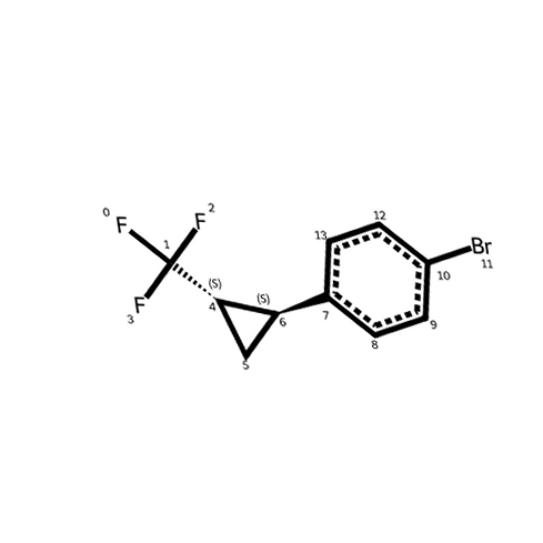 FC(F)(F)[C@H]1C[C@@H]1c1ccc(Br)cc1